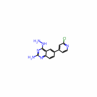 NNc1nc(N)nc2ccc(-c3ccnc(Cl)c3)cc12